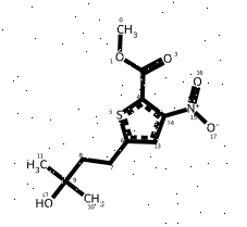 COC(=O)c1sc(CCC(C)(C)O)cc1[N+](=O)[O-]